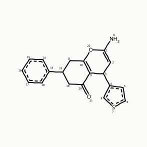 NC1=CC(c2ccsc2)C2=C(CC(c3ccccc3)CC2=O)O1